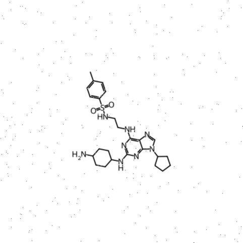 Cc1ccc(S(=O)(=O)NCCNc2nc(NC3CCC(N)CC3)nc3c2ncn3C2CCCC2)cc1